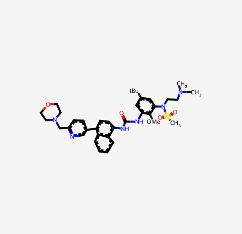 COc1c(NC(=O)Nc2ccc(-c3ccc(CN4CCOCC4)nc3)c3ccccc23)cc(C(C)(C)C)cc1N(CCN(C)C)S(C)(=O)=O